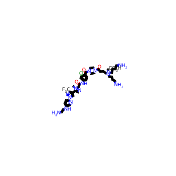 Cn1c(-c2cn(-c3ccc(NCCN)cn3)nc2C(F)(F)F)cnc1C(=O)Nc1ccc(C(=O)N2CCN(C(=O)CCC[N+](CCCCN)(CCCCN)CC(=O)O)CC2)c(Cl)c1